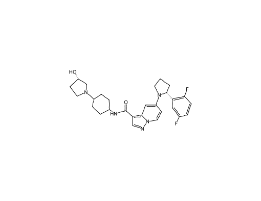 O=C(NC1CCC(N2CC[C@H](O)C2)CC1)c1cnn2ccc(N3CCC[C@@H]3c3cc(F)ccc3F)cc12